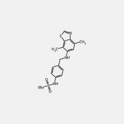 Cc1cc(NCc2ccc(NS(=O)(=O)C(C)(C)C)cc2)c(C)c2scnc12